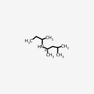 CCC(C)N[C@H](C)CC(C)C